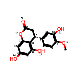 COc1ccc([C@H]2CC(=O)Oc3cc(O)cc(O)c32)cc1O